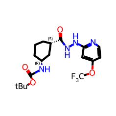 CC(C)(C)OC(=O)N[C@@H]1CCC[C@H](C(=O)NNc2cc(OC(F)(F)F)ccn2)C1